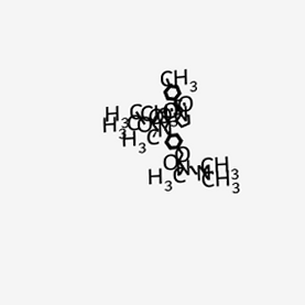 Cc1ccc(S(=O)(=O)N2CCC[C@H]2C(=O)N(c2ccc(OC(=O)N(C)CCN(C)C)cc2)[C@@H](C)C(=O)OC(C)(C)C)cc1